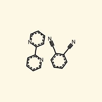 N#Cc1ccccc1C#N.c1ccc(-c2ccccn2)nc1